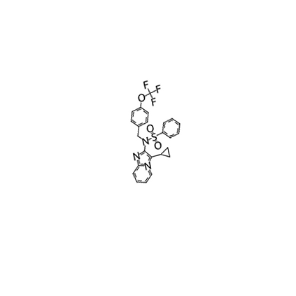 O=S(=O)(c1ccccc1)N(Cc1ccc(OC(F)(F)F)cc1)c1nc2ccccn2c1C1CC1